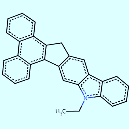 CCn1c2ccccc2c2cc3c(cc21)-c1c(c2ccccc2c2ccccc12)C3